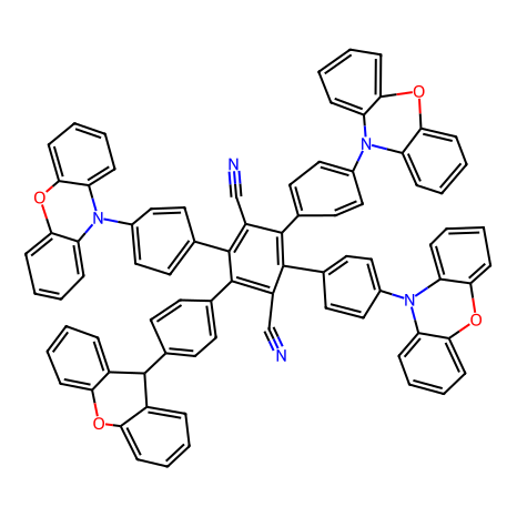 N#Cc1c(-c2ccc(C3c4ccccc4Oc4ccccc43)cc2)c(-c2ccc(N3c4ccccc4Oc4ccccc43)cc2)c(C#N)c(-c2ccc(N3c4ccccc4Oc4ccccc43)cc2)c1-c1ccc(N2c3ccccc3Oc3ccccc32)cc1